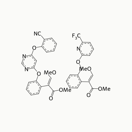 CO/C=C(/C(=O)OC)c1ccccc1COc1cccc(C(F)(F)F)n1.CO/C=C(/C(=O)OC)c1ccccc1Oc1cc(Oc2ccccc2C#N)ncn1